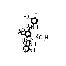 CC1(C)Cc2c(c(C(=O)Nc3ccc(F)c(C(F)(F)F)c3)cc3nc(Nc4c(Cl)cncc4Cl)[nH]c23)O1.CS(=O)(=O)O